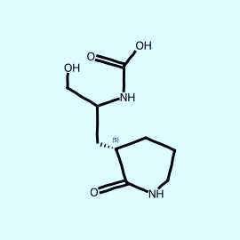 O=C(O)NC(CO)C[C@@H]1CCCNC1=O